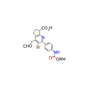 COC(=O)Nc1ccc(-c2nc3c(c(CC=O)c2Br)CCC3C(=O)O)cc1